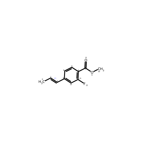 C/C=C/c1ccc(C(=O)OC)c(F)c1